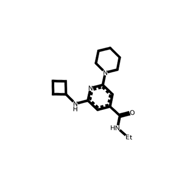 CCNC(=O)c1cc(NC2CCC2)nc(N2CCCCC2)c1